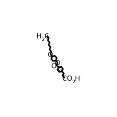 C=CCCCCCCOC1CCC(OC(=O)c2ccc(C=CC(=O)O)cc2)CC1